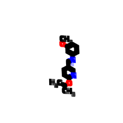 COc1cccc(/N=C/c2ccc(OC(C)C)nc2)c1